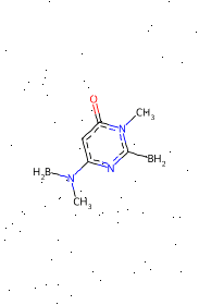 Bc1nc(N(B)C)cc(=O)n1C